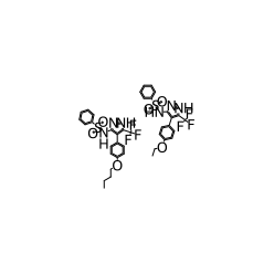 CCCCOc1ccc(-c2c(NS(=O)(=O)c3ccccc3)n[nH]c2C(F)(F)F)cc1.CCOc1ccc(-c2c(NS(=O)(=O)c3ccccc3)n[nH]c2C(F)(F)F)cc1